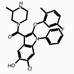 Cc1ccc(F)cc1Oc1c(C(=O)N2CCNC(C)C2)c2cc(O)c(Cl)cc2n1-c1ccccc1